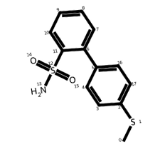 CSc1ccc(-c2ccccc2S(N)(=O)=O)cc1